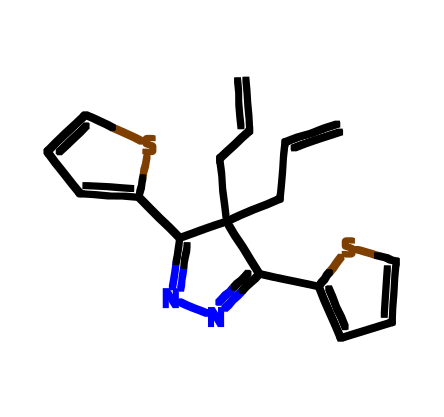 C=CCC1(CC=C)C(c2cccs2)=NN=C1c1cccs1